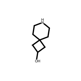 OC1[CH]C2(CCNCC2)C1